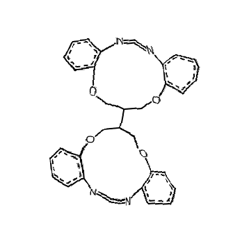 C1=Nc2ccccc2OCC(C2COc3ccccc3N=C=Nc3ccccc3OC2)COc2ccccc2N=1